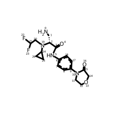 NC[C@H](C(=O)Nc1ccc(N2CCOCC2=O)cc1)N(CC(F)F)C1CC1